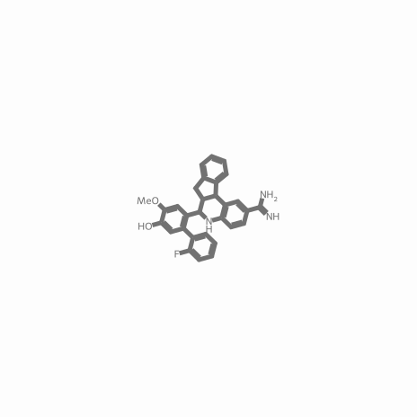 COc1cc(C2Nc3ccc(C(=N)N)cc3C3c4ccccc4CC23)c(-c2ccccc2F)cc1O